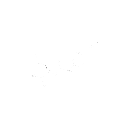 C#Cc1ccc(NC(=O)O[C@H](CSC)C(=O)O)cc1